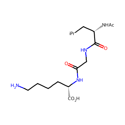 CC(=O)N[C@@H](CC(C)C)C(=O)NCC(=O)N[C@@H](CCCCN)C(=O)O